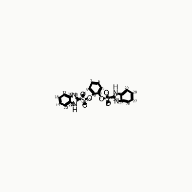 O=S(=O)(Oc1ccccc1OS(=O)(=O)c1nc2ccccc2[nH]1)c1nc2ccccc2[nH]1